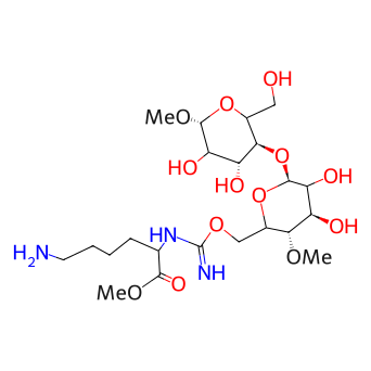 COC(=O)C(CCCCN)NC(=N)OCC1O[C@@H](O[C@@H]2C(CO)O[C@@H](OC)C(O)[C@H]2O)C(O)[C@@H](O)[C@@H]1OC